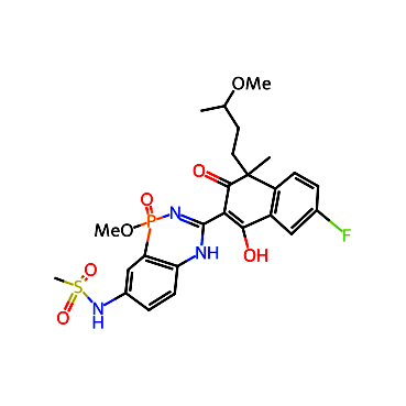 COC(C)CCC1(C)C(=O)C(C2=NP(=O)(OC)c3cc(NS(C)(=O)=O)ccc3N2)=C(O)c2cc(F)ccc21